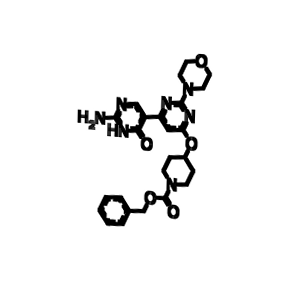 Nc1ncc(-c2cc(OC3CCN(C(=O)OCc4ccccc4)CC3)nc(N3CCOCC3)n2)c(=O)[nH]1